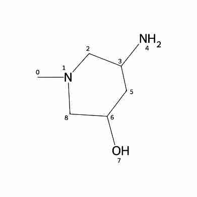 CN1CC(N)CC(O)C1